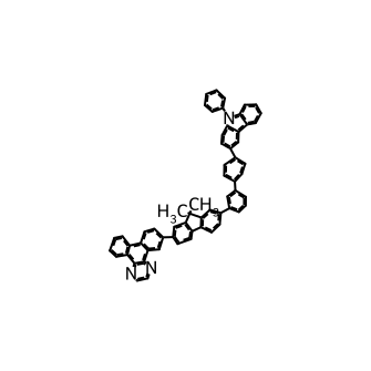 CC1(C)c2cc(-c3cccc(-c4ccc(-c5ccc6c(c5)c5ccccc5n6-c5ccccc5)cc4)c3)ccc2-c2ccc(-c3ccc4c5ccccc5c5nccnc5c4c3)cc21